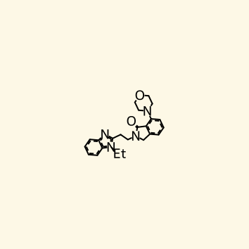 CCn1c(CCN2Cc3cccc(N4CCOCC4)c3C2=O)nc2ccccc21